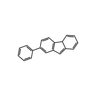 [C]1=C2C=CC=CC2c2ccc(-c3ccccc3)cc21